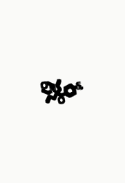 C=CCC(CC=C)(C(=O)c1ccc(SC)cc1)N1CCOCC1